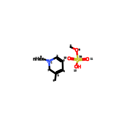 CCCCCCN1C=CC=C(C)C1.COS(=O)(=O)O